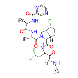 CC(C)[C@H](NC(=O)[C@H](NC(=O)c1cnccn1)C(C)C)C(=O)N1CC2C(F)CC[C@@H]2[C@H]1C(=O)NC(CC(F)F)C(=O)C(=O)NC1CC1